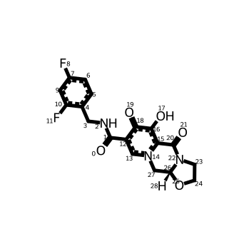 O=C(NCc1ccc(F)cc1F)c1cn2c(c(O)c1=O)C(=O)N1CCO[C@@H]1C2